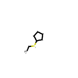 CC(C)CSC1CCCC1